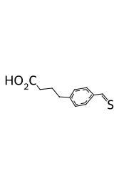 O=C(O)CCCc1ccc(C=S)cc1